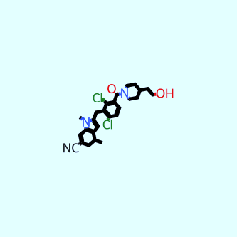 CC1CC(C#N)=Cc2c1cc(Cc1c(Cl)ccc(C(=O)N3CCC(CCO)CC3)c1Cl)n2C